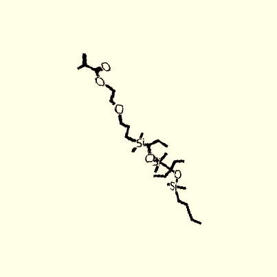 C=C(C)C(=O)OCCOCCC[Si](C)(C)C(CC)O[Si](C)(C)C(CC)(CC)O[Si](C)(C)CCCC